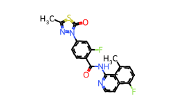 Cc1nn(-c2ccc(C(=O)Nc3nccc4c(F)ccc(C)c34)c(F)c2)c(=O)s1